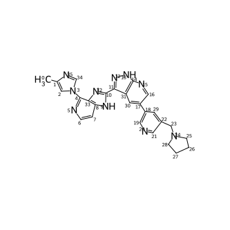 Cc1cn(-c2nccc3[nH]c(-c4n[nH]c5ncc(-c6cncc(CN7CCCC7)c6)cc45)nc23)cn1